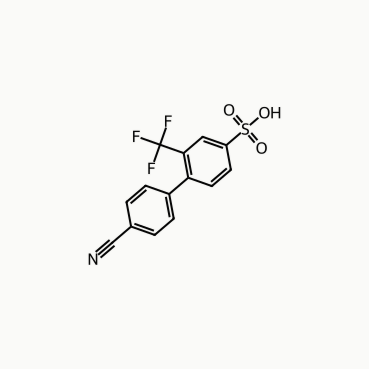 N#Cc1ccc(-c2ccc(S(=O)(=O)O)cc2C(F)(F)F)cc1